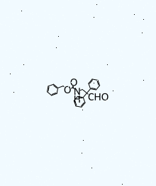 O=CC(CNC(=O)OCc1ccccc1)(c1ccccc1)c1ccccc1